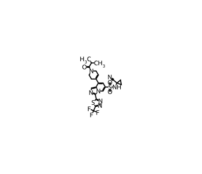 CC(C)C(=O)N1CC=C(c2cc(S(=O)(=O)NC3(C#N)CC3)cn3c(-c4nnc(C(F)(F)F)s4)ncc23)CC1